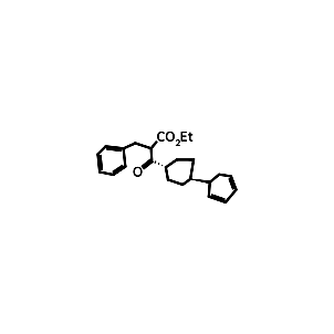 CCOC(=O)C(Cc1ccccc1)C(=O)[C@H]1CC[C@H](C2C=CC=CC2)CC1